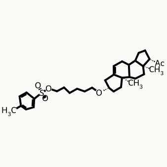 CC(=O)[C@H]1CCC2C3CC=C4C[C@@H](OCCCCCCOS(=O)(=O)c5ccc(C)cc5)CC[C@]4(C)C3CC[C@@]21C